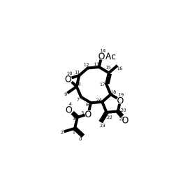 C=C(C)C(=O)OC1CC2(C)OC2CC(OC(C)=O)/C(C)=C/C2OC(=O)C(=C)C21